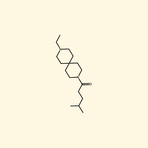 CCN1CCC2(CC1)CCN(C(=O)CCC(C)C)CC2